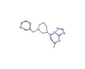 Cc1cc(C2CCCN(Cc3cccnc3)C2)n2ncnc2n1